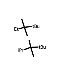 CC(C)C(C)(C)C(C)(C)C.CCC(C)(C)C(C)(C)C